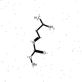 CC(N)CC=NC(=O)OC(C)(C)C